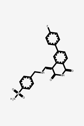 NS(=O)(=O)c1ccc(CN/C=C2\C(=O)NC(=O)c3ccc(-c4ccc(F)cc4)cc32)cc1